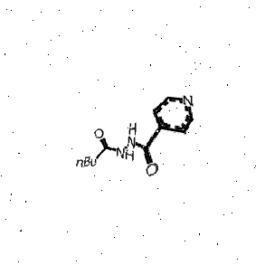 CCCCC(=O)NNC(=O)c1ccncc1